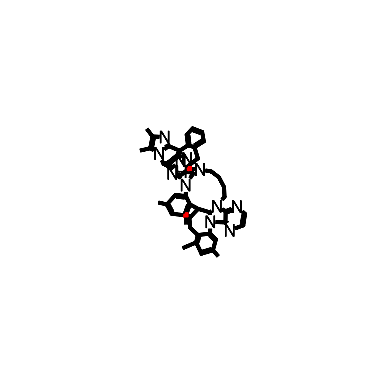 C=C1Cc2c(C)cc(C)cc2N2c3nccnc3N3CCCCN4c5nccnc5N(c5cc(C)cc(C)c5C1C32)[C@@H]4CCc1ccccc1-c1nccn2c(C)c(C)nc12